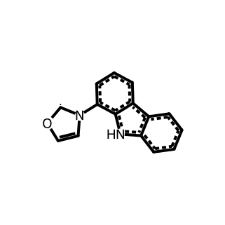 [CH]1OC=CN1c1cccc2c1[nH]c1ccccc12